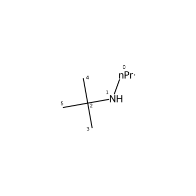 CC[CH]NC(C)(C)C